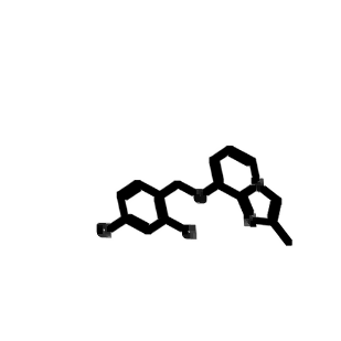 Cc1cn2cccc(OCc3ccc(Cl)cc3Cl)c2n1